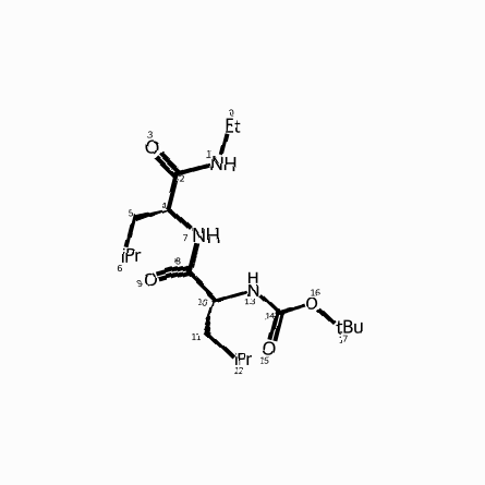 CCNC(=O)[C@H](CC(C)C)NC(=O)[C@H](CC(C)C)NC(=O)OC(C)(C)C